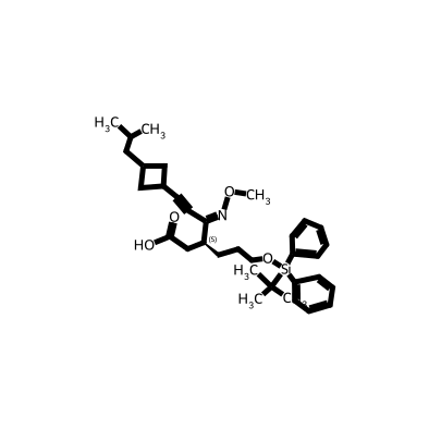 CON=C(C#CC1CC(CC(C)C)C1)[C@@H](CCCO[Si](c1ccccc1)(c1ccccc1)C(C)(C)C)CC(=O)O